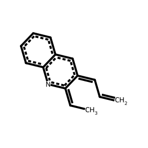 C=C/C=c1/cc2ccccc2n/c1=C/C